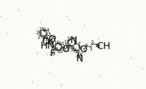 C#CCCCOc1cc2nccc(Oc3ccc(NC(=O)Oc4ccccc4)c(F)c3)c2cc1C#N